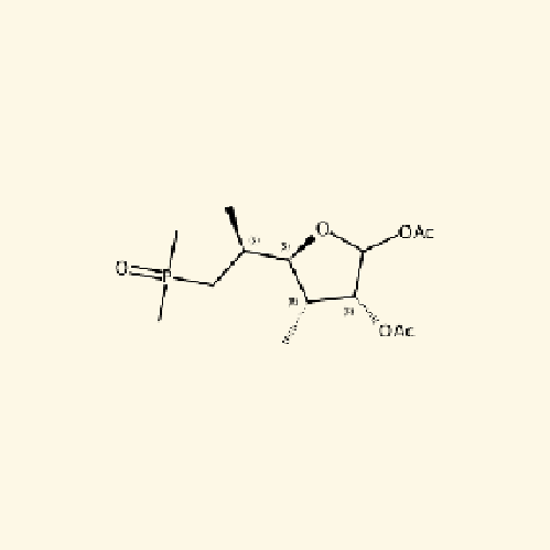 CC(=O)OC1O[C@H]([C@H](C)CP(C)(C)=O)[C@@H](C)[C@H]1OC(C)=O